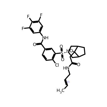 C/C=C/CNC(=O)C[C@]1(O)C2CCC1C[C@@H](S(=O)(=O)c1cc(C(=O)Nc3cc(F)c(F)c(F)c3)ccc1Cl)C2